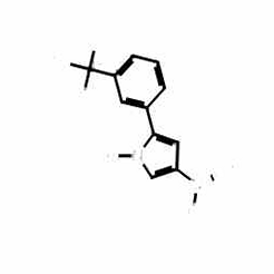 Cn1cc([N+](=O)[O-])cc1-c1cccc(C(F)(F)F)c1